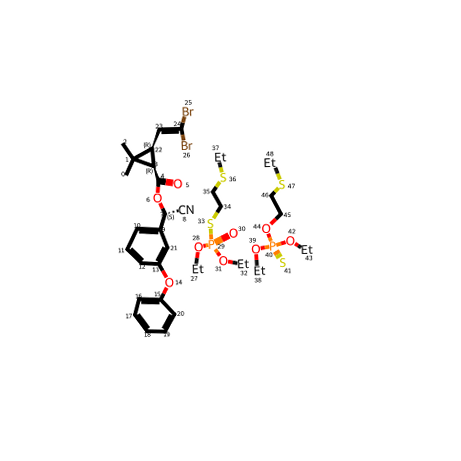 CC1(C)[C@H](C(=O)O[C@H](C#N)c2cccc(Oc3ccccc3)c2)[C@@H]1C=C(Br)Br.CCOP(=O)(OCC)SCCSCC.CCOP(=S)(OCC)OCCSCC